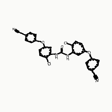 N#Cc1ccc(Oc2ccc(Cl)c(NC(=O)Nc3cc(Oc4ccc(C#N)cc4)ccc3Cl)c2)cc1